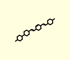 CC1CCC(/C=C/C2C=CC(/C=C/C3CCC(C4CCC(C)CC4)CC3)CC2)CC1